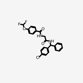 O=C(CNC(=O)c1ccc(OC(F)F)cc1)NC(c1ccccc1)c1ccc(Cl)cc1